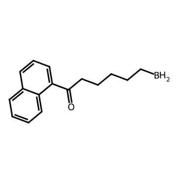 BCCCCCC(=O)c1cccc2ccccc12